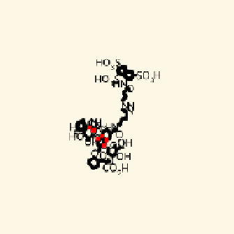 CC1OC(OC2C(OC3OC(CO)C(O)C(O[C@@H](CC4CCCCC4)C(=O)O)C3OC(=O)c3ccccc3)CC(C(=O)NCCCc3cn(CCCC(=O)Nc4cc(S(=O)(=O)O)cc5cc(S(=O)(=O)O)cc(S(=O)(=O)O)c45)nn3)CC2n2cc(-c3cccc(F)c3)nn2)C(O)C(O)C1O